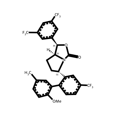 COc1ccc(C)cc1-c1ccc(C(F)(F)F)cc1[C@@H]1CC[C@H]2[C@@H](c3cc(C(F)(F)F)cc(C(F)(F)F)c3)OC(=O)N12